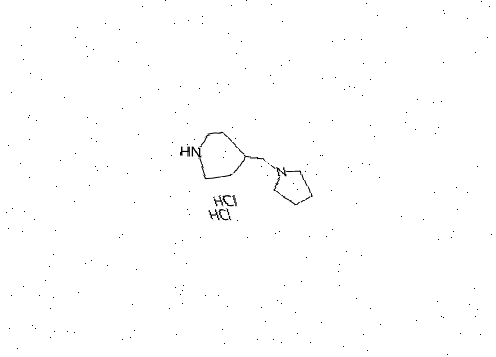 C1CCN(CC2CCNCC2)C1.Cl.Cl